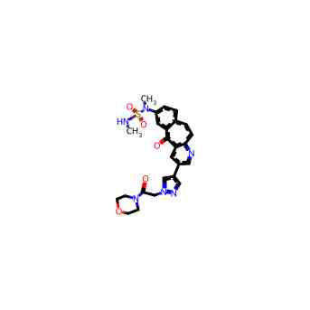 CNS(=O)(=O)N(C)c1ccc2ccc3ncc(-c4cnn(CC(=O)N5CCOCC5)c4)cc3c(=O)c2c1